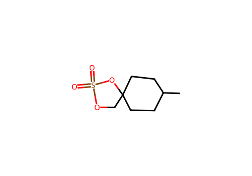 CC1CCC2(CC1)COS(=O)(=O)O2